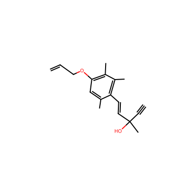 C#CC(C)(O)/C=C/c1c(C)cc(OCC=C)c(C)c1C